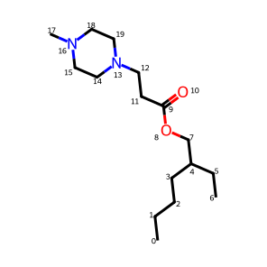 CCCCC(CC)COC(=O)CCN1CCN(C)CC1